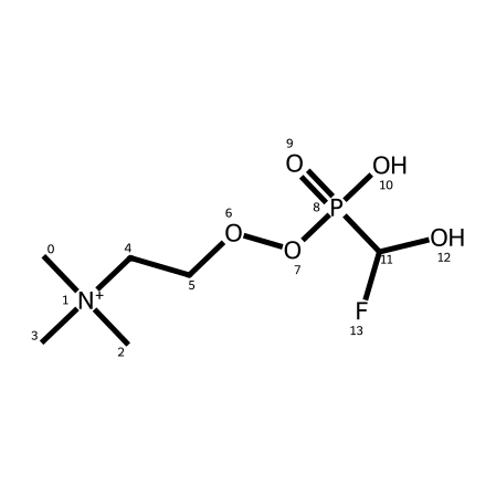 C[N+](C)(C)CCOOP(=O)(O)C(O)F